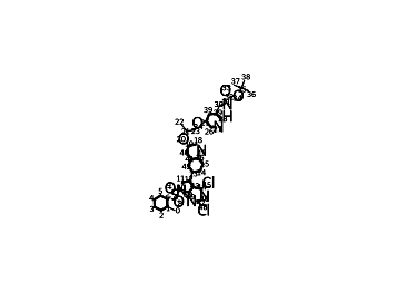 Cc1ccccc1S(=O)(=O)n1cc(-c2ccc3ncc(OC(C)COc4cncc(CNC(=O)OC(C)(C)C)c4)cc3c2)c2c(Cl)nc(Cl)nc21